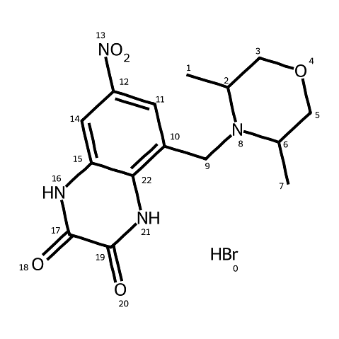 Br.CC1COCC(C)N1Cc1cc([N+](=O)[O-])cc2[nH]c(=O)c(=O)[nH]c12